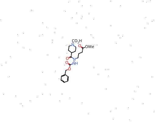 COC(=O)CCCN(NC(=O)OCc1ccccc1)C(=O)C1CCN(C(=O)O)CC1